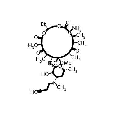 C#CCCN(C)[C@H]1C[C@@H](C)O[C@@H](O[C@@H]2[C@@H](C)C(=O)[C@@H](C)C(=O)O[C@H](CC)COC(=O)N(N)C(C)[C@@H](C)C(=O)[C@H](C)C[C@@]2(C)OC)[C@@H]1O